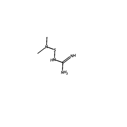 CN(C)SNC(=N)N